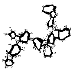 C1=C2Oc3ccccc3C2CC=C1n1c2ccccc2c2cc3c(cc21)-c1cc(-c2ccc4c5ccccc5n(-c5ccc6c(c5)sc5ccccc56)c4c2)ccc1C31CCCCC1